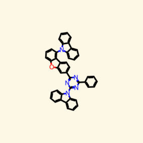 c1ccc(-c2nc(-c3ccc4c(c3)oc3cccc(-n5c6ccccc6c6ccccc65)c34)nc(-n3c4ccccc4c4ccccc43)n2)cc1